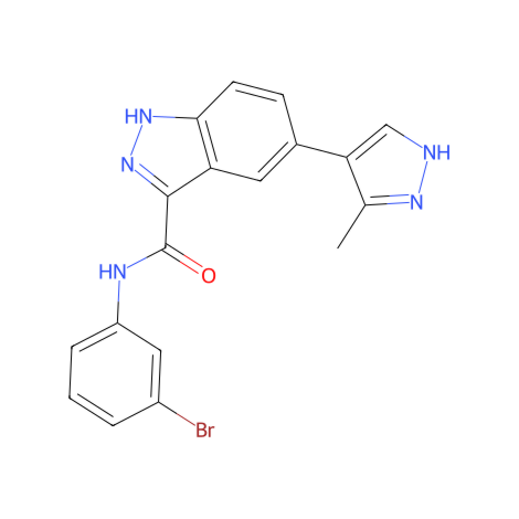 Cc1n[nH]cc1-c1ccc2[nH]nc(C(=O)Nc3cccc(Br)c3)c2c1